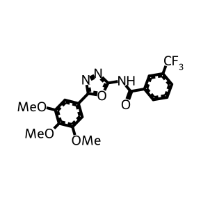 COc1cc(-c2nnc(NC(=O)c3cccc(C(F)(F)F)c3)o2)cc(OC)c1OC